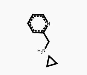 C1CC1.NCc1ccccn1